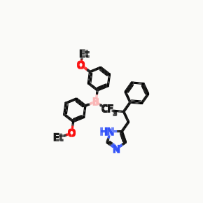 CC(Cc1cnc[nH]1)c1ccccc1.CCOc1cccc(B(c2cccc(OCC)c2)C(F)(F)F)c1